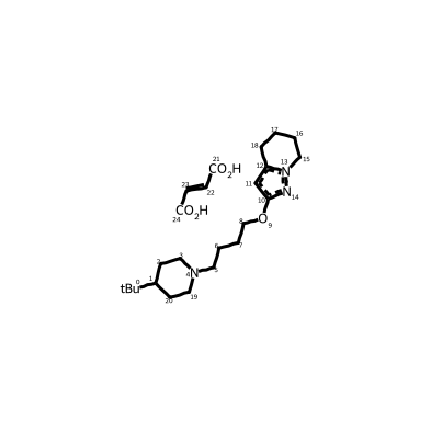 CC(C)(C)C1CCN(CCCCOc2cc3n(n2)CCCC3)CC1.O=C(O)C=CC(=O)O